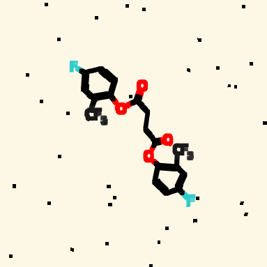 O=C(CCC(=O)Oc1ccc(F)cc1C(F)(F)F)Oc1ccc(F)cc1C(F)(F)F